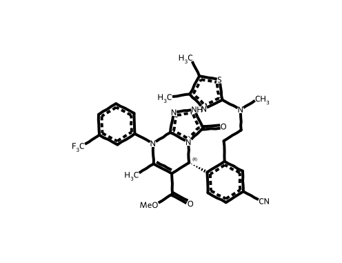 COC(=O)C1=C(C)N(c2cccc(C(F)(F)F)c2)c2n[nH]c(=O)n2[C@@H]1c1ccc(C#N)cc1CCN(C)c1nc(C)c(C)s1